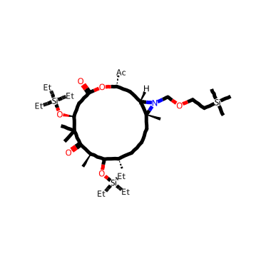 CC[Si](CC)(CC)OC1[C@@H](C)CCC[C@]2(C)[C@H](C[C@@H](C(C)=O)OC(=O)C[C@H](O[Si](CC)(CC)CC)C(C)(C)C(=O)[C@@H]1C)N2COCC[Si](C)(C)C